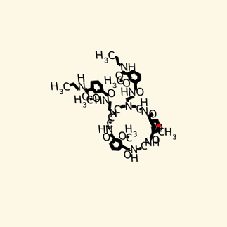 CCCNC(=O)c1cccc(C(=O)NCCN2CCNC(=O)c3cccc(c3OC)C(=O)NCCNC(=O)c3cccc(c3OC)C(=O)NCCN(CCNC(=O)c3cccc(C(=O)NCCC)c3OC)CC2)c1OC